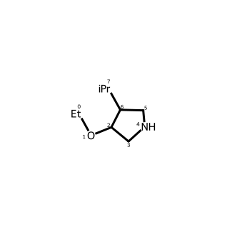 CCOC1CNCC1C(C)C